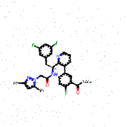 CNC(=O)c1cc(-c2cccnc2[C@H](Cc2cc(F)cc(F)c2)NC(=O)Cn2nc(C(C)C)cc2C(C)C)ccc1F